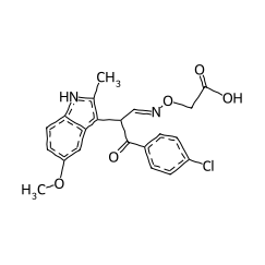 COc1ccc2[nH]c(C)c(C(C=NOCC(=O)O)C(=O)c3ccc(Cl)cc3)c2c1